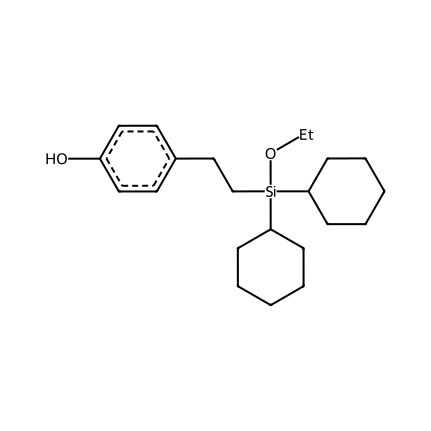 CCO[Si](CCc1ccc(O)cc1)(C1CCCCC1)C1CCCCC1